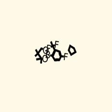 C1CCCC1.CC(F)(F)c1cc(F)ccc1B1OCC(C)(C)C(C)(C)O1